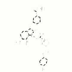 Cc1c(Sc2cccc(C(=O)O)c2)c2ccc(Cl)c(F)c2n1CC(=O)N1CC[C@H](OCc2ccc(F)cc2)C1